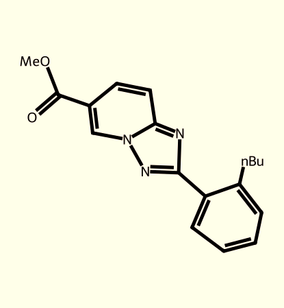 CCCCc1ccccc1-c1nc2ccc(C(=O)OC)cn2n1